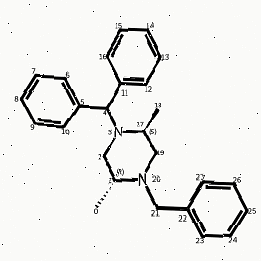 C[C@@H]1CN(C(c2ccccc2)c2ccccc2)[C@@H](C)CN1Cc1ccccc1